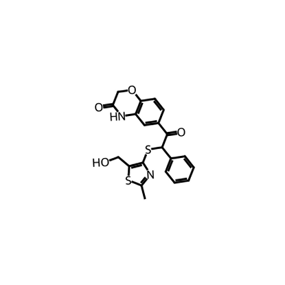 Cc1nc(SC(C(=O)c2ccc3c(c2)NC(=O)CO3)c2ccccc2)c(CO)s1